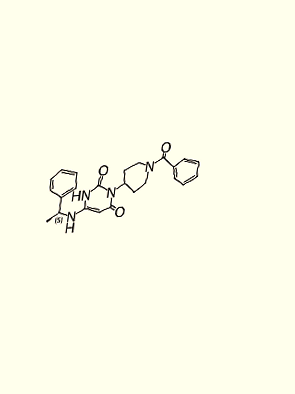 C[C@H](Nc1cc(=O)n(C2CCN(C(=O)c3ccccc3)CC2)c(=O)[nH]1)c1ccccc1